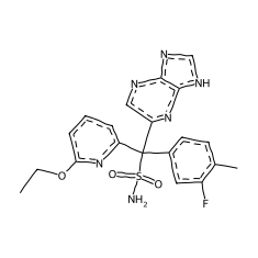 CCOc1cccc(C(c2ccc(C)c(F)c2)(c2cnc3nc[nH]c3n2)S(N)(=O)=O)n1